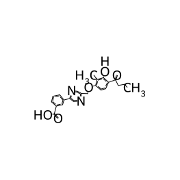 CCCC(=O)c1ccc(OCc2cnc(-c3cccc(C(=O)O)c3)cn2)c(C)c1O